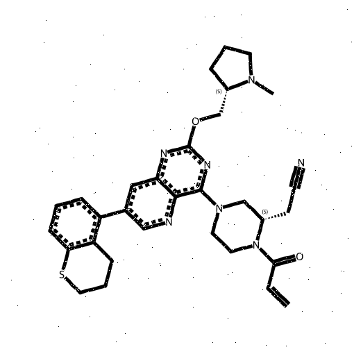 C=CC(=O)N1CCN(c2nc(OC[C@@H]3CCCN3C)nc3cc(-c4cccc5c4CCCS5)cnc23)C[C@@H]1CC#N